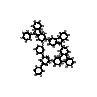 c1ccc(-c2nc(-c3ccccc3)nc(-c3ccc4c5ccccc5c5ccc(-n6c7ccccc7c7cc(-c8ccc9c(c8)c8ccccc8n9-c8ccccc8)ccc76)cc5c4c3)n2)cc1